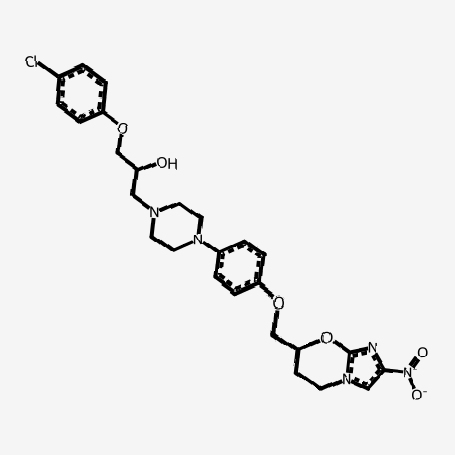 O=[N+]([O-])c1cn2c(n1)OC(COc1ccc(N3CCN(CC(O)COc4ccc(Cl)cc4)CC3)cc1)CC2